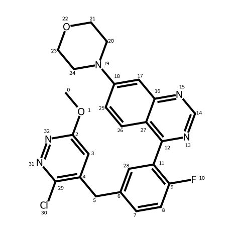 COc1cc(Cc2ccc(F)c(-c3ncnc4cc(N5CCOCC5)ccc34)c2)c(Cl)nn1